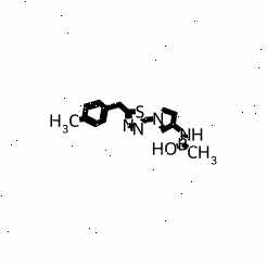 CB(O)NC1CCN(c2nnc(Cc3ccc(C)cc3)s2)C1